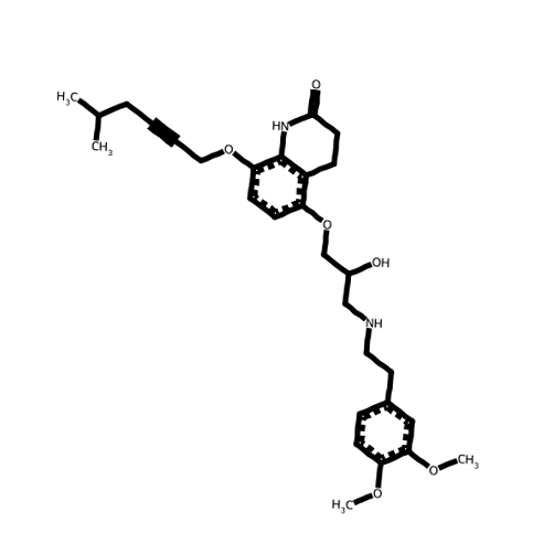 COc1ccc(CCNCC(O)COc2ccc(OCC#CCC(C)C)c3c2CCC(=O)N3)cc1OC